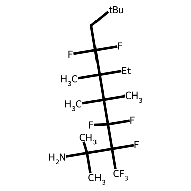 CCC(C)(C(F)(F)CC(C)(C)C)C(C)(C)C(F)(F)C(F)(C(C)(C)N)C(F)(F)F